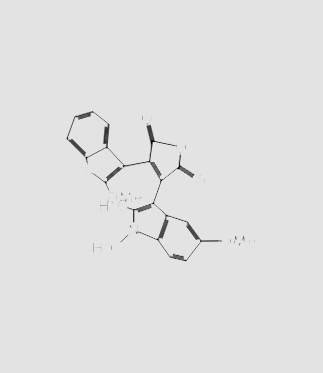 COc1ccc2c(c1)c(C1=C(c3c(OC)sc4ccccc34)C(=O)OC1=O)c(C)n2C